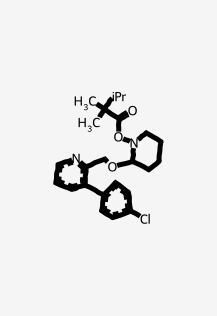 CC(C)C(C)(C)C(=O)ON1CCCCC1OCc1ncccc1-c1ccc(Cl)cc1